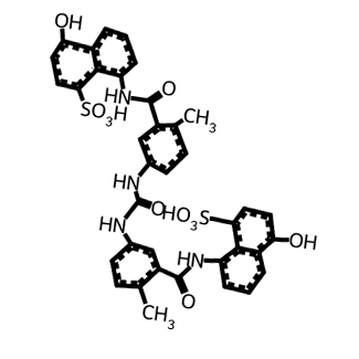 Cc1ccc(NC(=O)Nc2ccc(C)c(C(=O)Nc3cccc4c(O)ccc(S(=O)(=O)O)c34)c2)cc1C(=O)Nc1cccc2c(O)ccc(S(=O)(=O)O)c12